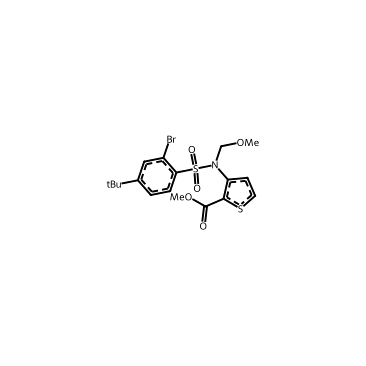 COCN(c1ccsc1C(=O)OC)S(=O)(=O)c1ccc(C(C)(C)C)cc1Br